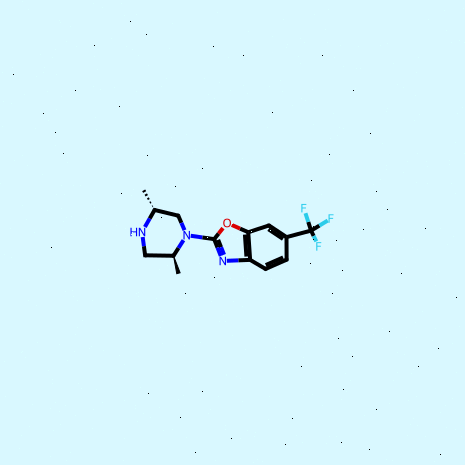 C[C@@H]1CN(c2nc3ccc(C(F)(F)F)cc3o2)[C@@H](C)CN1